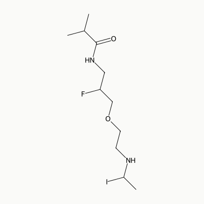 CC(I)NCCOCC(F)CNC(=O)C(C)C